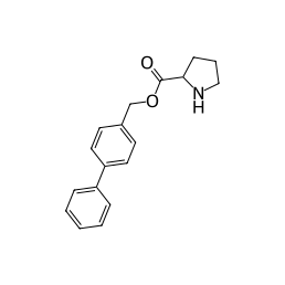 O=C(OCc1ccc(-c2ccccc2)cc1)C1CCCN1